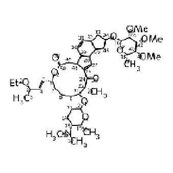 CCOC(C)/C=C/[C@H]1CCC[C@H](OC2CC[C@H](N(C)C)[C@@H](C)O2)[C@@H](C)C(=O)C2=CC3C(C=CC4CC(O[C@@H]5O[C@@H](C)[C@H](OC)[C@@H](OC)[C@H]5OC)CC43)C2CC(=O)O1